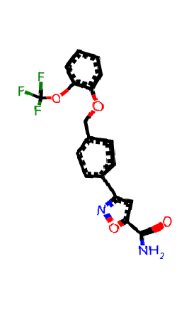 NC(=O)c1cc(-c2ccc(COc3ccccc3OC(F)(F)F)cc2)no1